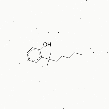 CCCCCC(C)(C)c1c[c]ccc1O